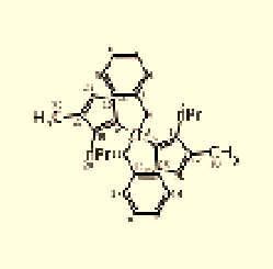 CCCC1=[C]([Zr]([CH2]c2ccccc2)([CH2]c2ccccc2)[C]2=C(CCC)C(C)=CC2)CC=C1C